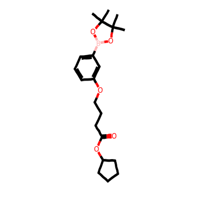 CC1(C)OB(c2cccc(OCCCC(=O)OC3CCCC3)c2)OC1(C)C